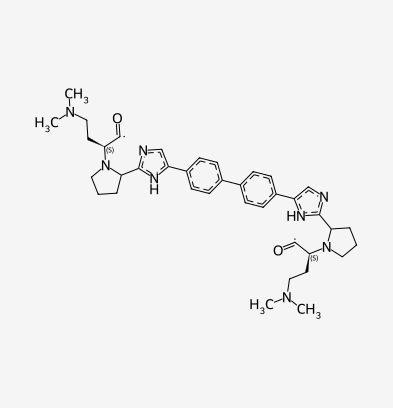 CN(C)CC[C@@H]([C]=O)N1CCCC1c1ncc(-c2ccc(-c3ccc(-c4cnc(C5CCCN5[C@H]([C]=O)CCN(C)C)[nH]4)cc3)cc2)[nH]1